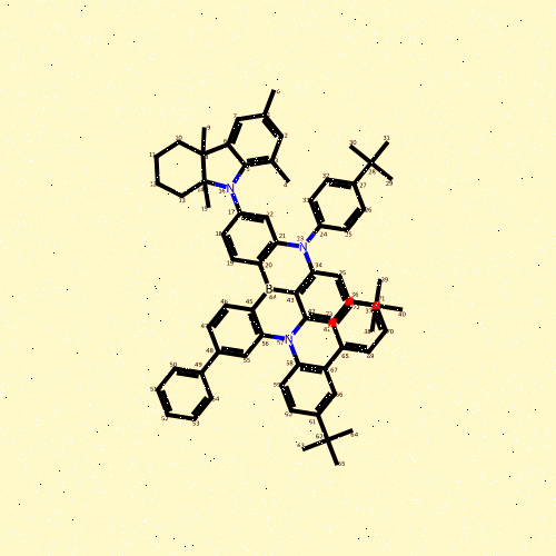 Cc1cc(C)c2c(c1)C1(C)CCCCC1(C)N2c1ccc2c(c1)N(c1ccc(C(C)(C)C)cc1)c1cc(C(C)(C)C)cc3c1B2c1ccc(-c2ccccc2)cc1N3c1ccc(C(C)(C)C)cc1-c1ccccc1